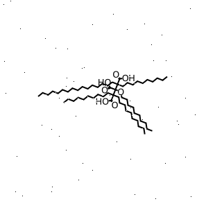 CCCCCCCCCCCCCCCCC(CCCCCCCCCC)(C(=O)O)C(OCCCCCCCCCC)(C(=O)O)C(CCCCCCCCCC)(CCCCCCCCCC)C(=O)O